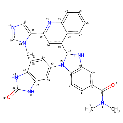 CN(C)C(=O)c1ccc2c(c1)NC(c1cc(-c3cncn3C)nc3ccccc13)N2c1ccc2[nH]c(=O)[nH]c2c1